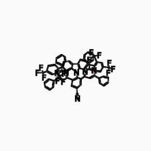 N#Cc1cc(-c2cc(-c3ccccc3)nc(-c3ccccc3)n2)c(-n2c3cc(-c4ccc(C(F)(F)F)cc4C(F)(F)F)ccc3c3ccc(-c4ccc(C(F)(F)F)cc4C(F)(F)F)cc32)c(-c2cc(-c3ccccc3)nc(-c3ccccc3)n2)c1